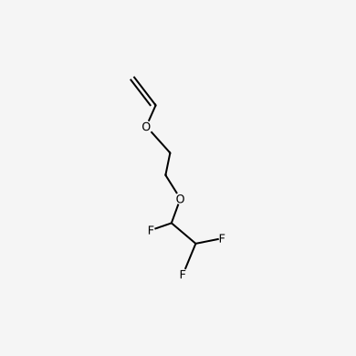 C=COCCOC(F)C(F)F